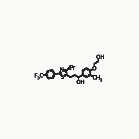 Cc1cc([C@H](O)CCc2sc(-c3ccc(C(F)(F)F)cc3)nc2C(C)C)ccc1OCCO